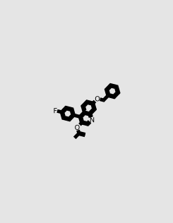 C=C(C)Oc1cnc2cc(OCc3ccccc3)ccc2c1-c1ccc(F)cc1